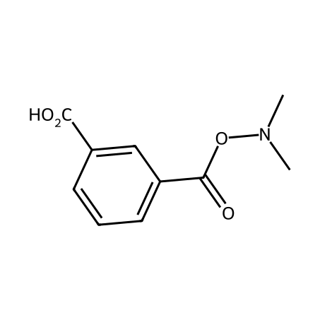 CN(C)OC(=O)c1cccc(C(=O)O)c1